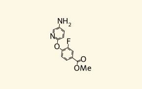 COC(=O)c1ccc(Oc2ccc(N)cn2)c(F)c1